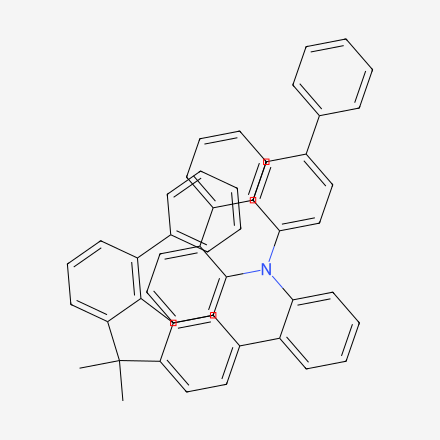 CC1(C)c2ccc(-c3ccccc3N(c3ccc(-c4ccccc4)cc3)c3ccccc3-c3ccccc3)cc2-c2c(-c3ccccc3)cccc21